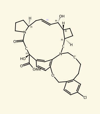 COC(=O)[C@]1(O)CC(=O)N2CCC[C@H]2C/C=C/[C@H](O)[C@@H]2CC[C@H]2CN2CCCCc3cc(Cl)ccc3COc3ccc1cc32